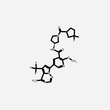 COc1ncc(-c2cc(C(F)(F)F)c3c(N)ncnn23)cc1C(=O)N[C@H]1CCN(C(=O)C2CCC(F)(F)C2)C1